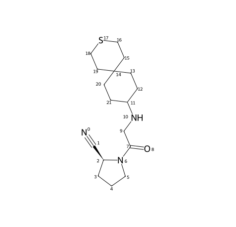 N#C[C@@H]1CCCN1C(=O)CNC1CCC2(CCSCC2)CC1